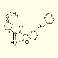 CSN1CC[C@H](NC(=O)c2c(C)oc3ccc(OCc4ccccc4)cc23)C1